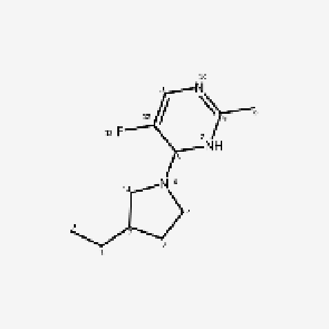 CCC1CCN(C2NC(C)=NC=C2F)C1